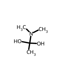 CN(C)C(C)(O)O